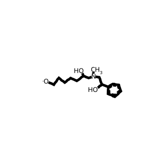 CN(CC(O)CCCCC[O])CC(O)c1ccccc1